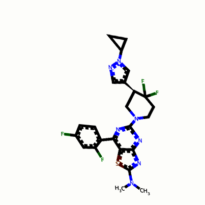 CN(C)c1nc2nc(N3CCC(F)(F)[C@H](c4cnn(C5CC5)c4)C3)nc(-c3ccc(F)cc3F)c2s1